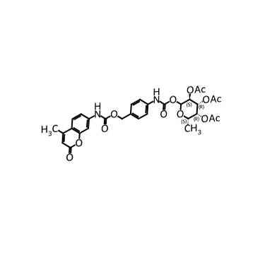 CC(=O)O[C@@H]1[C@H](OC(C)=O)[C@H](C)OC(OC(=O)Nc2ccc(COC(=O)Nc3ccc4c(C)cc(=O)oc4c3)cc2)[C@H]1OC(C)=O